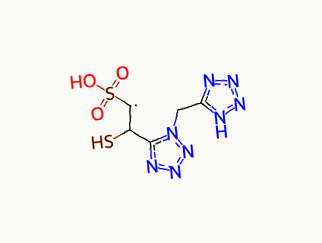 O=S(=O)(O)[CH]C(S)c1nnnn1Cc1nnn[nH]1